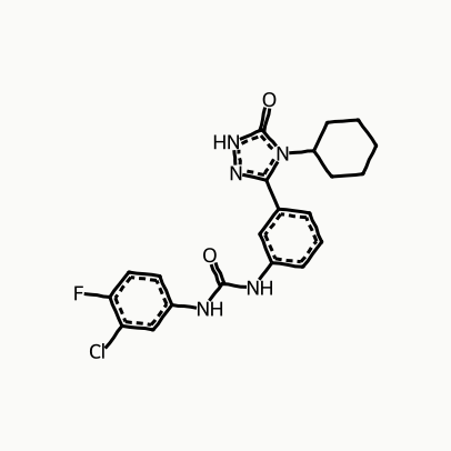 O=C(Nc1cccc(-c2n[nH]c(=O)n2C2CCCCC2)c1)Nc1ccc(F)c(Cl)c1